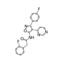 O=C(Cc1ccccc1F)Nc1onc(-c2ccc(F)cc2)c1-c1ccncn1